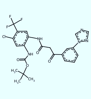 CC(C)(C)OC(=O)Nc1cc(Cl)c(C(F)(F)F)cc1NC(=O)CC(=O)c1cccc(-n2cncn2)c1